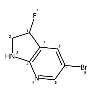 FC1CNc2ncc(Br)cc21